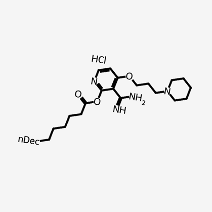 CCCCCCCCCCCCCCCC(=O)Oc1nccc(OCCCN2CCCCC2)c1C(=N)N.Cl